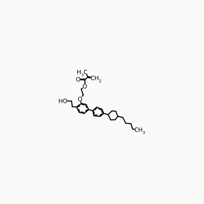 C=C(C)C(=O)OCCOc1cc(-c2ccc(C3CCC(CCCCC)CC3)cc2)ccc1CCO